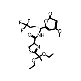 CCOC(C)(OCC)C1=NC(C(=O)N[C@H](CCC(F)(F)F)c2cc(OC)cc(=O)o2)CS1